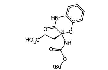 CC(C)(C)OC(=O)N[C@@]1(CCC(=O)O)Oc2ccccc2NC1=O